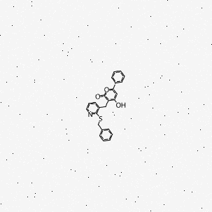 O=c1oc(-c2ccccc2)cc(O)c1Cc1cccnc1SCc1ccccc1